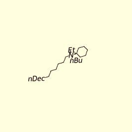 CCCCCCCCCCCCCCCC[N+](CC)(CCCC)C1CCCCC1